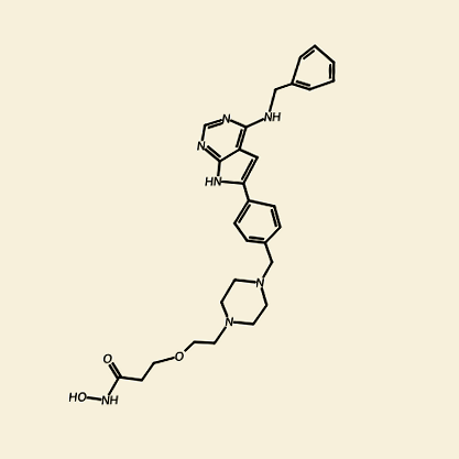 O=C(CCOCCN1CCN(Cc2ccc(-c3cc4c(NCc5ccccc5)ncnc4[nH]3)cc2)CC1)NO